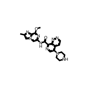 COc1nc(NC(=O)c2ncc(N3CCNCC3)c3ccnnc23)cn2cc(C)nc12